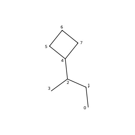 C[CH]C(C)C1CCC1